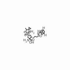 CC(N(C)S(=O)(=O)N1C[C@H](CCCB2O[C@H]3C[C@H]4C[C@H](C4(C)C)[C@@]3(C)O2)[C@](N)(C(=O)O)C1)C1(N)CC1